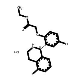 CCOC(=O)COc1ccc(Cl)cc1[C@H]1NCCc2c(F)cccc21.Cl